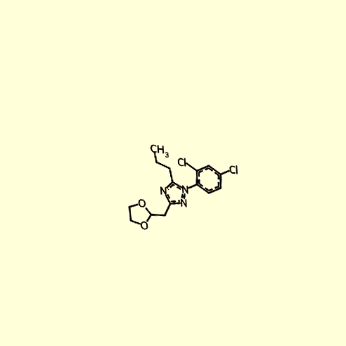 CCCc1nc(CC2OCCO2)nn1-c1ccc(Cl)cc1Cl